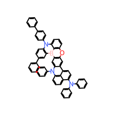 c1ccc(-c2ccc(N3c4ccc(-c5ccccc5)cc4B4c5cc6c(cc5Oc5cccc3c54)-c3ccc(N(c4ccccc4)c4ccccc4)c4cccc(c34)N6c3ccccc3)cc2)cc1